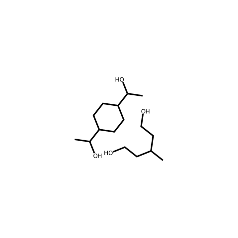 CC(CCO)CCO.CC(O)C1CCC(C(C)O)CC1